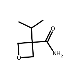 CC(C)C1(C(N)=O)COC1